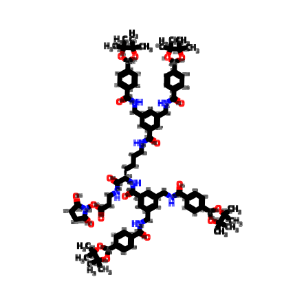 CC1(C)OB(c2ccc(C(=O)NCc3cc(CNC(=O)c4ccc(B5OC(C)(C)C(C)(C)O5)cc4)cc(C(=O)NCCCC[C@H](NC(=O)c4cc(CNC(=O)c5ccc(B6OC(C)(C)C(C)(C)O6)cc5)cc(CNC(=O)c5ccc(B6OC(C)(C)C(C)(C)O6)cc5)c4)C(=O)NCCC(=O)ON4C(=O)CCC4=O)c3)cc2)OC1(C)C